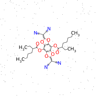 CCCCCC(CC)C(=O)Oc1c2c(c(OC(=O)C(CC)CCCC)c3c1OC(=C(C#N)C#N)O3)OC(=C(C#N)C#N)O2